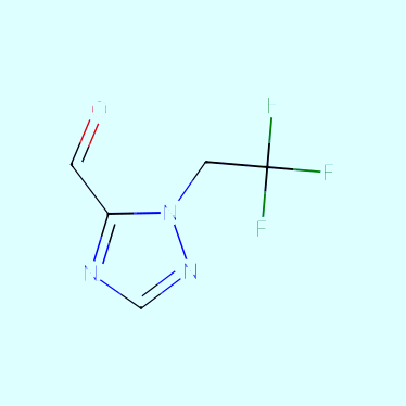 O=Cc1ncnn1CC(F)(F)F